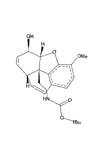 COc1ccc2c3c1O[C@H]1[C@H](O)C=C[C@@H](C=C2)[C@@]31CCNC(=O)OC(C)(C)C